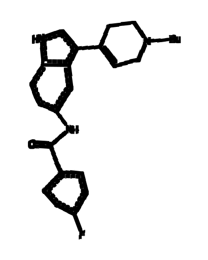 CCC(C)N1CC=C(c2c[nH]c3ccc(NC(=O)c4ccc(F)cc4)cc23)CC1